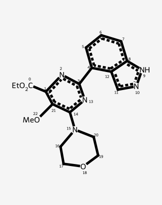 CCOC(=O)c1nc(-c2cccc3[nH]ncc23)nc(N2CCOCC2)c1OC